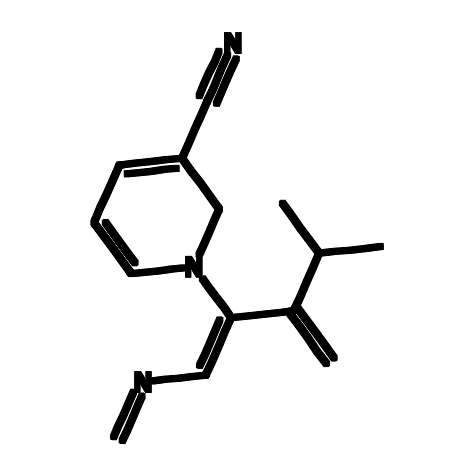 C=N/C=C(/C(=C)C(C)C)N1C=CC=C(C#N)C1